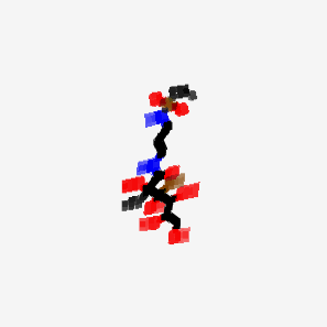 CCCC(O)(C(=O)NCCCNS(C)(=O)=O)C(O)(S)C(O)C(O)CO